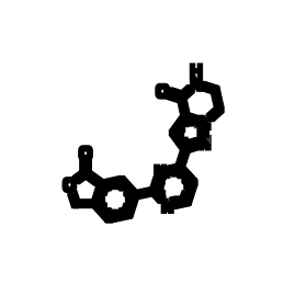 O=C1OCc2ccc(-c3nccc(-c4cc5n(n4)CCNC5=O)n3)cc21